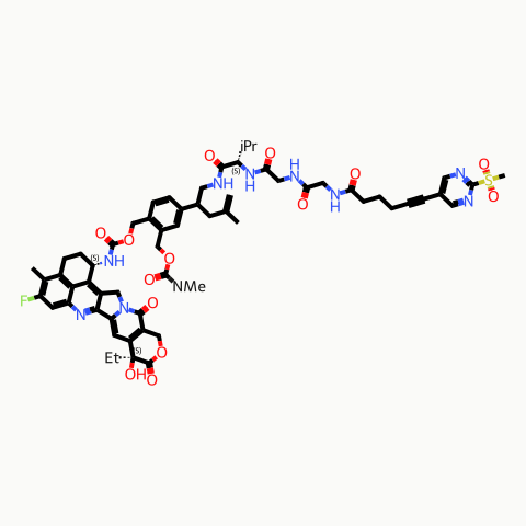 C=C(C)CC(CNC(=O)[C@@H](NC(=O)CNC(=O)CNC(=O)CCCC#Cc1cnc(S(C)(=O)=O)nc1)C(C)C)c1ccc(COC(=O)N[C@H]2CCc3c(C)c(F)cc4nc5c(c2c34)Cn2c-5cc3c(c2=O)COC(=O)[C@]3(O)CC)c(COC(=O)NC)c1